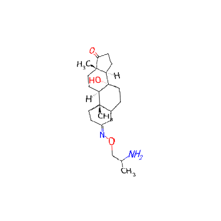 CC(N)CO/N=C1/CC[C@@]2(C)C(CC[C@@]3(O)[C@@H]2CC[C@]2(C)C(=O)CC[C@@H]32)C1